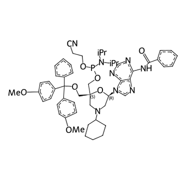 COc1ccc(C(OC[C@]2(COP(OCCC#N)N(C(C)C)C(C)C)CN(C3CCCCC3)C[C@H](n3cnc4c(NC(=O)c5ccccc5)ncnc43)O2)(c2ccccc2)c2ccc(OC)cc2)cc1